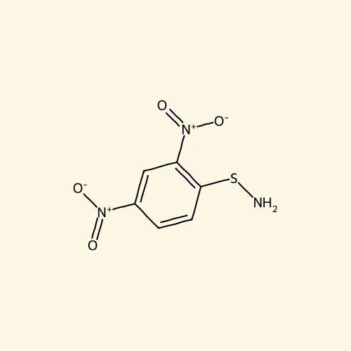 NSc1ccc([N+](=O)[O-])cc1[N+](=O)[O-]